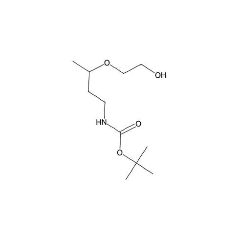 CC(CCNC(=O)OC(C)(C)C)OCCO